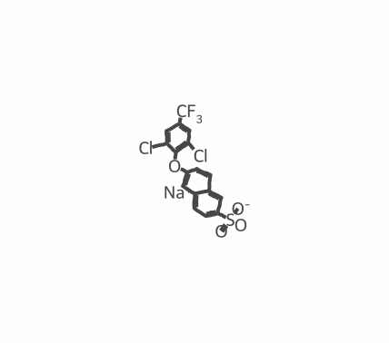 O=S(=O)([O-])c1ccc2cc(Oc3c(Cl)cc(C(F)(F)F)cc3Cl)ccc2c1.[Na+]